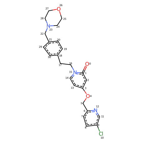 O=c1cc(OCc2ccc(Cl)cn2)ccn1CCc1ccc(CN2CCOCC2)cc1